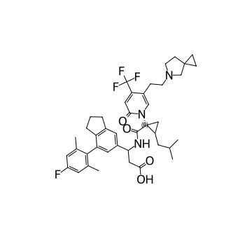 Cc1cc(F)cc(C)c1-c1cc(C(CC(=O)O)NC(=O)[C@@]2(n3cc(CCN4CCC5(CC5)C4)c(C(F)(F)F)cc3=O)CC2CC(C)C)cc2c1CCC2